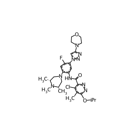 Cc1c(OC(C)C)nnc(C(=O)Nc2cc(-n3cc(N4CCOCC4)nn3)c(F)cc2N2C[C@@H](C)N(C)[C@@H](C)C2)c1Cl